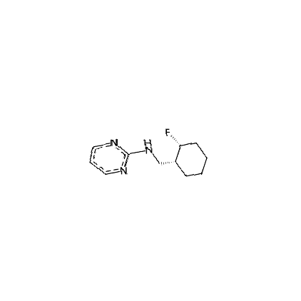 F[C@@H]1CCCC[C@@H]1CNc1ncccn1